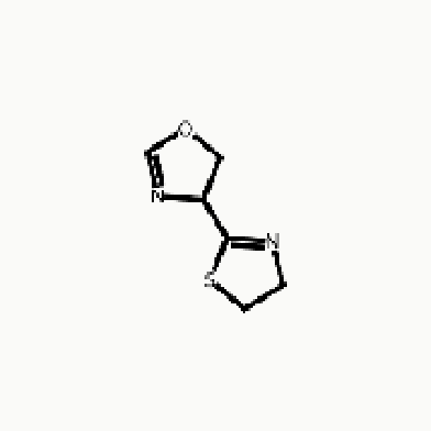 C1=NC(C2=NCCS2)CO1